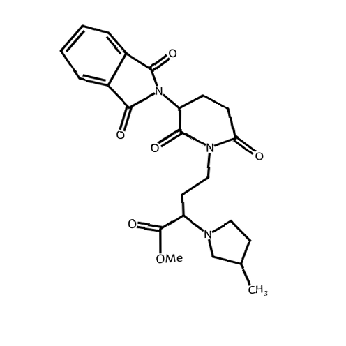 COC(=O)C(CCN1C(=O)CCC(N2C(=O)c3ccccc3C2=O)C1=O)N1CCC(C)C1